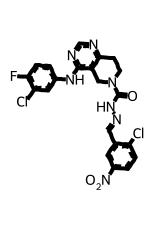 O=C(N/N=C/c1cc([N+](=O)[O-])ccc1Cl)N1CCc2ncnc(Nc3ccc(F)c(Cl)c3)c2C1